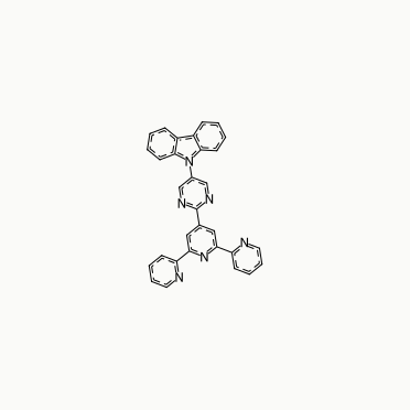 c1ccc(-c2cc(-c3ncc(-n4c5ccccc5c5ccccc54)cn3)cc(-c3ccccn3)n2)nc1